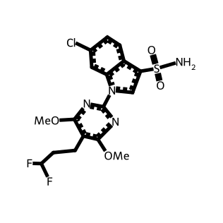 COc1nc(-n2cc(S(N)(=O)=O)c3ccc(Cl)cc32)nc(OC)c1CCC(F)F